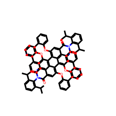 CC(C)c1cccc(C(C)C)c1N1C(=O)c2cc(Oc3ccccc3-c3ccncc3)c3c4c(Oc5ccccc5-c5ccncc5)cc5c6c(cc(Oc7ccccc7-c7ccncc7)c(c7c(Oc8ccccc8-c8ccncc8)cc(c2c37)C1=O)c64)C(=O)N(c1c(C(C)C)cccc1C(C)C)C5=O